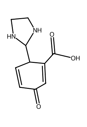 O=C1C=CC(C2NCCN2)C(C(=O)O)=C1